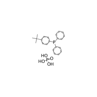 CC(C)(C)c1ccc(P(c2ccccc2)c2ccccc2)cc1.O=P(O)(O)O